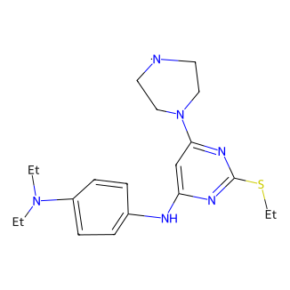 CCSc1nc(Nc2ccc(N(CC)CC)cc2)cc(N2CC[N]CC2)n1